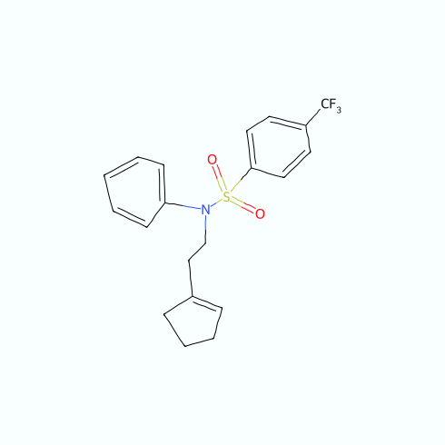 O=S(=O)(c1ccc(C(F)(F)F)cc1)N(CCC1=CCCC1)c1ccccc1